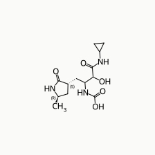 C[C@@H]1C[C@@H](CC(NC(=O)O)C(O)C(=O)NC2CC2)C(=O)N1